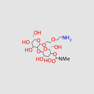 CNC(=O)O[C@H]1[C@H](O)[C@H](O)[C@@H](O[C@@H]2C(OCCOCCN)O[C@@H](CO)[C@@H](O)[C@@H]2O)O[C@@H]1CO